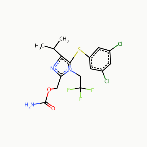 CC(C)c1nc(COC(N)=O)n(CC(F)(F)F)c1Sc1cc(Cl)cc(Cl)c1